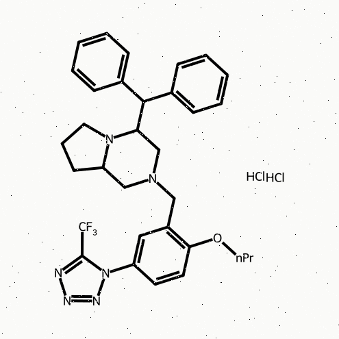 CCCOc1ccc(-n2nnnc2C(F)(F)F)cc1CN1CC2CCCN2C(C(c2ccccc2)c2ccccc2)C1.Cl.Cl